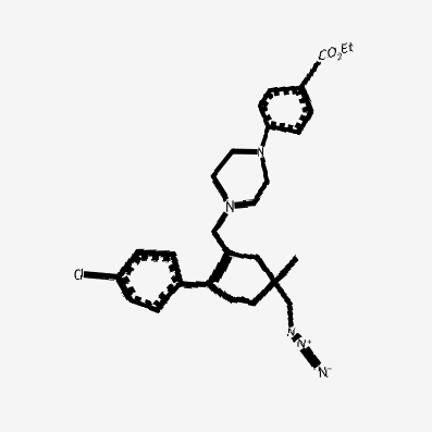 CCOC(=O)c1ccc(N2CCN(CC3=C(c4ccc(Cl)cc4)CCC(C)(CN=[N+]=[N-])C3)CC2)cc1